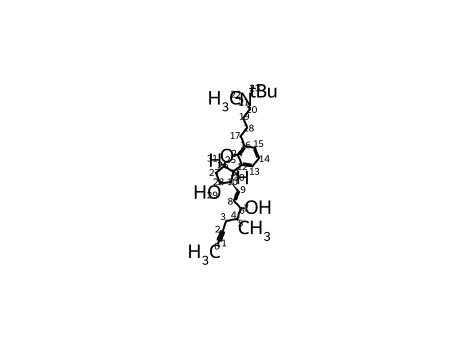 CC#CC[C@H](C)[C@H](O)/C=C/[C@@H]1[C@H]2c3cccc(CCCCN(C)C(C)(C)C)c3O[C@H]2C[C@H]1O